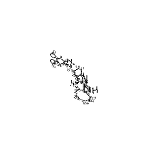 COc1cc2ncn(Cc3ccc4nc(N[C@H]5CCCCC[C@@H]5O)sc4c3)c2cc1OC